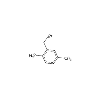 Cc1ccc(P)c(CC(C)C)c1